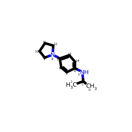 CC(C)Nc1ccc(N2CCCC2)cc1